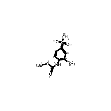 CC(C)(C)OC(=O)Nc1ccc(S(C)(=O)=O)cc1[N+](=O)[O-]